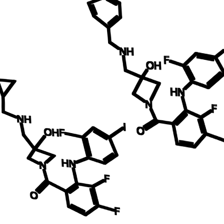 O=C(c1ccc(F)c(F)c1Nc1ccc(I)cc1F)N1CC(O)(CNCC2CC2)C1.O=C(c1ccc(F)c(F)c1Nc1ccc(I)cc1F)N1CC(O)(CNCc2ccccc2)C1